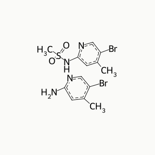 Cc1cc(N)ncc1Br.Cc1cc(NS(C)(=O)=O)ncc1Br